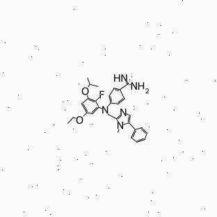 CCOc1cc(OC(C)C)c(F)c(N(Cc2ncc(-c3ccccc3)n2C)c2ccc(C(=N)N)cc2)c1